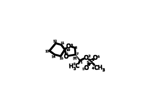 CC(OS(C)(=O)=O)[C@H]1COC2(CCCCC2)O1